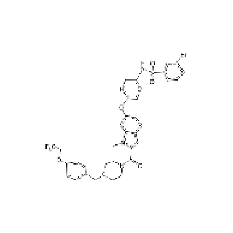 Cn1c(C(=O)N2CCN(Cc3ccc(OCC(F)(F)F)cc3)CC2)cc2ccc(Oc3ccc(NS(=O)(=O)c4cccc(Br)c4)cn3)cc21